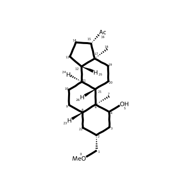 COC[C@H]1CC(O)[C@@]2(C)[C@@H](CC[C@H]3[C@@H]4CC[C@H](C(C)=O)[C@@]4(C)CC[C@@H]32)C1